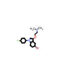 CN(C)CCOc1cn(-c2ccc(F)cc2)c2ccc(Br)cc12